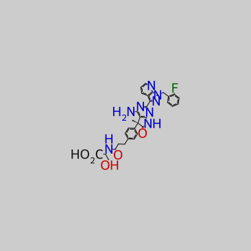 C[C@]1(c2ccc(CCC(=O)NC(CO)C(=O)O)cc2)C(=O)Nc2nc(-c3nn(Cc4ccccc4F)c4ncccc34)nc(N)c21